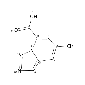 O=C(O)c1cc(Cl)cc2cncn12